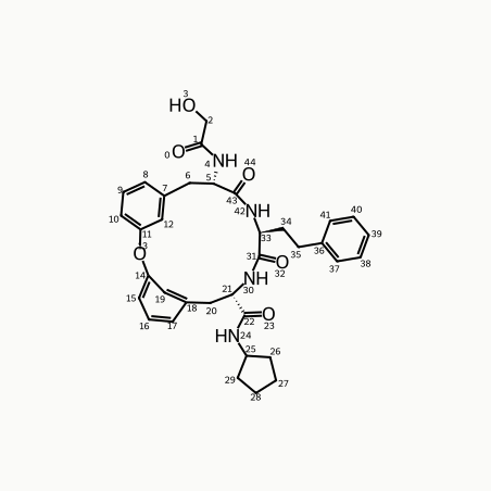 O=C(CO)N[C@H]1Cc2cccc(c2)Oc2cccc(c2)C[C@@H](C(=O)NC2CCCC2)NC(=O)[C@H](CCc2ccccc2)NC1=O